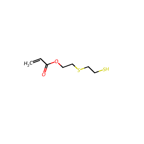 C=CC(=O)OCCSCCS